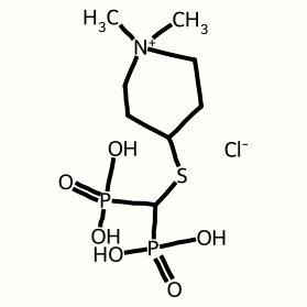 C[N+]1(C)CCC(SC(P(=O)(O)O)P(=O)(O)O)CC1.[Cl-]